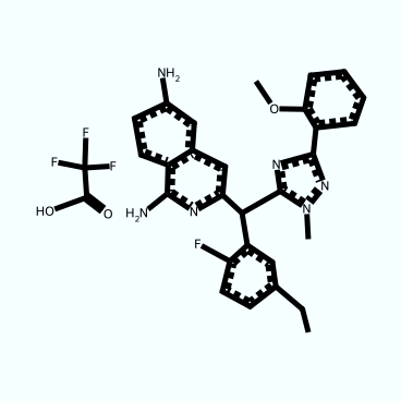 CCc1ccc(F)c(C(c2cc3cc(N)ccc3c(N)n2)c2nc(-c3ccccc3OC)nn2C)c1.O=C(O)C(F)(F)F